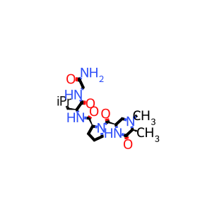 CC(C)C[C@H](NC(=O)[C@@H]1CCCN1C(=O)[C@H]1CN(C)[C@@H](C)C(=O)N1)C(=O)NCC(N)=O